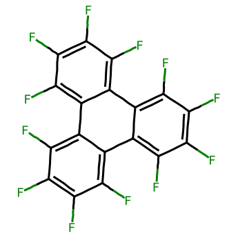 Fc1c(F)c(F)c2c(c1F)c1c(F)c(F)c(F)c(F)c1c1c(F)c(F)c(F)c(F)c21